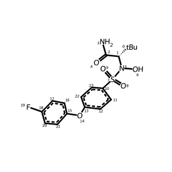 CC(C)(C)[C@@H](C(N)=O)N(O)S(=O)(=O)c1ccc(Oc2ccc(F)cc2)cc1